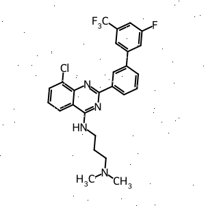 CN(C)CCCNc1nc(-c2cccc(-c3cc(F)cc(C(F)(F)F)c3)c2)nc2c(Cl)cccc12